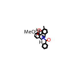 CO[C@]12C=C[C@@]3(C[C@@H]1C(C)=O)[C@H]1Cc4ccc(C)c5c4[C@@]3(CCN1C(=O)c1ccccc1)[C@H]2O5